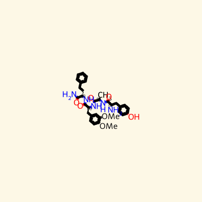 COc1ccc(C[C@H](NC(=O)[C@@H](C)NC(=O)[C@@H](N)Cc2ccc(O)cc2)C(=O)N[C@@H](CCc2ccccc2)C(N)=O)cc1OC